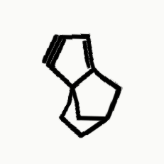 C1#CC23CCC(CC2=C1)C3